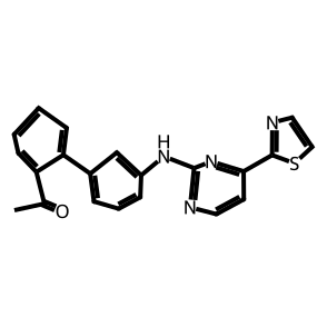 CC(=O)c1ccccc1-c1cccc(Nc2nccc(-c3nccs3)n2)c1